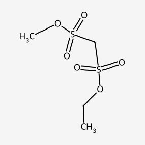 CCOS(=O)(=O)CS(=O)(=O)OC